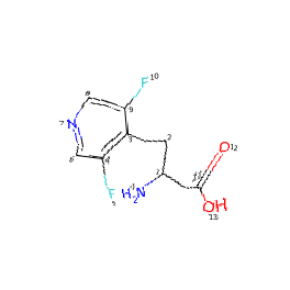 NC(Cc1c(F)cncc1F)C(=O)O